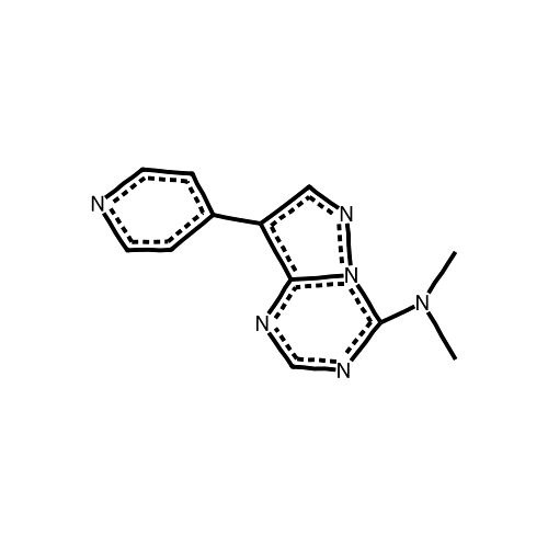 CN(C)c1ncnc2c(-c3ccncc3)cnn12